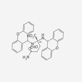 NC(=O)CC[C@](NC1c2ccccc2Oc2ccccc21)(C(=O)O)N(C=O)C1c2ccccc2Oc2ccccc21